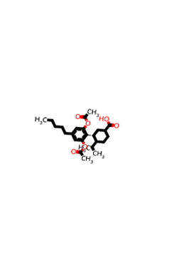 CCCCCc1cc(OC(C)=O)c([C@@H]2CC(C(=O)O)CCC2C(C)C)c(OC(C)=O)c1